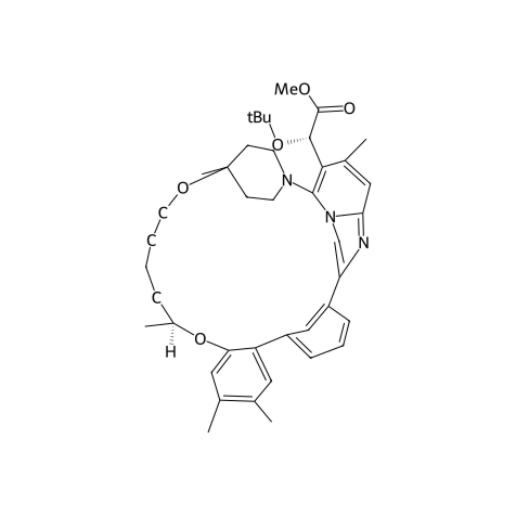 COC(=O)[C@@H](OC(C)(C)C)c1c(C)cc2nc3cn2c1N1CCC(C)(CC1)OCCCC[C@H](C)Oc1cc(C)c(C)cc1-c1cccc-3c1